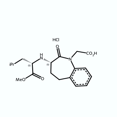 COC(=O)[C@H](CC(C)C)N[C@H]1CCc2ccccc2N(CC(=O)O)C1=O.Cl